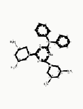 N[C@@H]1C[C@H](N)CN(c2nc(N3C[C@H](N)C[C@H](N)C3)nc(N(c3cc[c]cc3)c3ccccc3)n2)C1